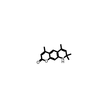 CC1=CC(C)(C)Nc2cc3oc(=O)cc(C)c3cc21